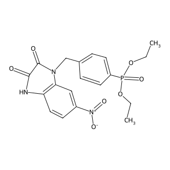 CCOP(=O)(OCC)c1ccc(Cn2c(=O)c(=O)[nH]c3ccc([N+](=O)[O-])cc32)cc1